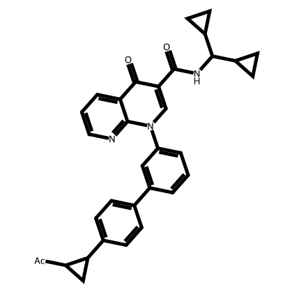 CC(=O)C1CC1c1ccc(-c2cccc(-n3cc(C(=O)NC(C4CC4)C4CC4)c(=O)c4cccnc43)c2)cc1